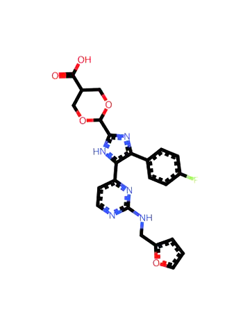 O=C(O)C1COC(c2nc(-c3ccc(F)cc3)c(-c3ccnc(NCc4ccco4)n3)[nH]2)OC1